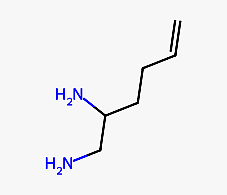 C=CCCC(N)CN